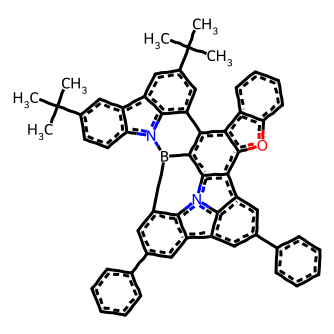 CC(C)(C)c1ccc2c(c1)c1cc(C(C)(C)C)cc3c1n2B1c2cc(-c4ccccc4)cc4c5cc(-c6ccccc6)cc6c7c8oc9ccccc9c8c-3c1c7n(c24)c56